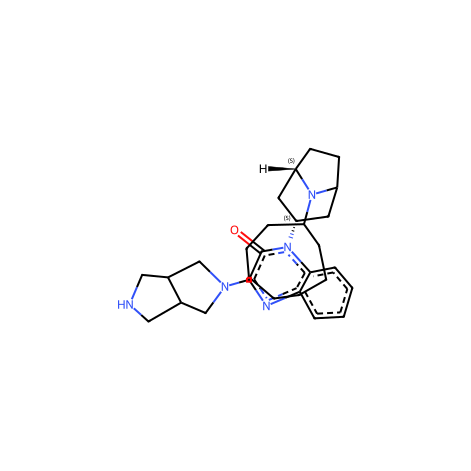 O=c1c(N2CC3CNCC3C2)nc2ccccc2n1[C@H]1CC2CC[C@@H](C1)N2C1CCCCCCC1